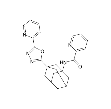 O=C(NC12CC3CC(C1)CC(c1nnc(-c4ccccn4)o1)(C3)C2)c1ccccn1